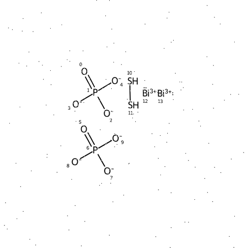 O=P([O-])([O-])[O-].O=P([O-])([O-])[O-].SS.[Bi+3].[Bi+3]